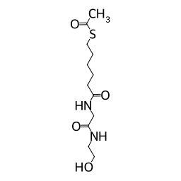 CC(=O)SCCCCCC(=O)NCC(=O)NCCO